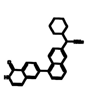 CNC(c1ccc2c(-c3ccc4c(=O)[nH]ccc4c3)cccc2c1)C1CCCCC1